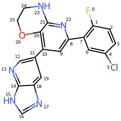 Fc1ccc(Cl)cc1-c1cc(-c2cnc3[nH]cnc3c2)c2c(n1)NCCO2